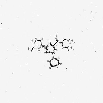 CCN(CC)C(=O)c1cc(-c2ccccc2)nc(N(CC)CC)n1